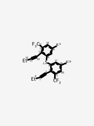 CCC#Cc1c(Sc2cc(F)cc(C(F)(F)F)c2C#CCC)cc(F)cc1C(F)(F)F